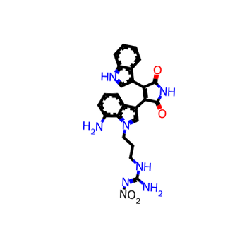 NC(=N[N+](=O)[O-])NCCCn1cc(C2=C(c3c[nH]c4ccccc34)C(=O)NC2=O)c2cccc(N)c21